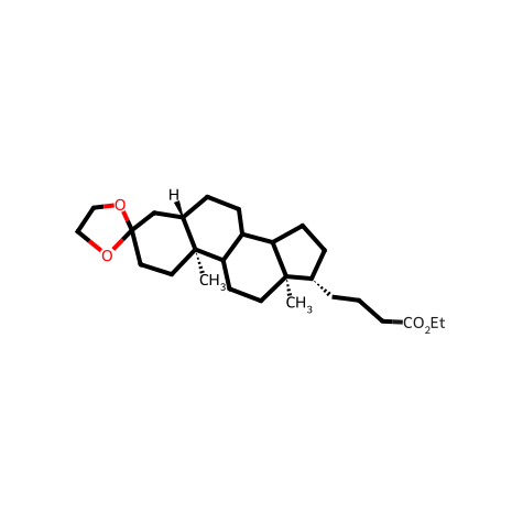 CCOC(=O)CCC[C@H]1CCC2C3CC[C@H]4CC5(CC[C@]4(C)C3CC[C@@]21C)OCCO5